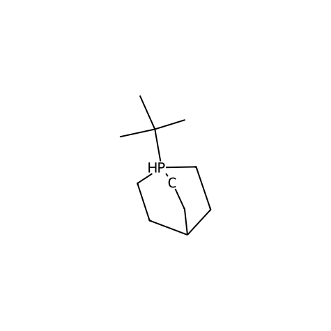 CC(C)(C)[PH]12CCC(CC1)CC2